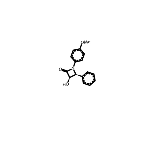 COc1ccc(N2C(=O)[C@H](O)[C@@H]2c2ccccc2)cc1